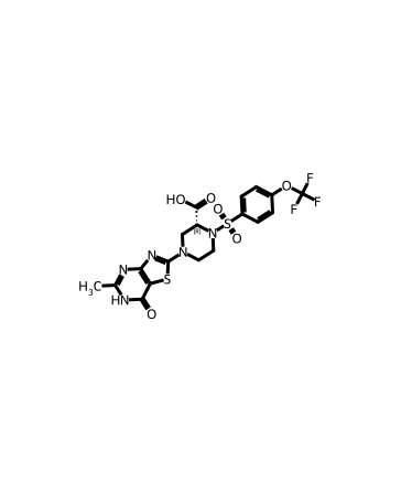 Cc1nc2nc(N3CCN(S(=O)(=O)c4ccc(OC(F)(F)F)cc4)[C@@H](C(=O)O)C3)sc2c(=O)[nH]1